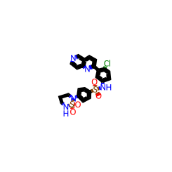 O=S(=O)(Nc1ccc(Cl)c(-c2ccc3cnccc3n2)c1)c1ccc(N2CCCNS2(=O)=O)cc1